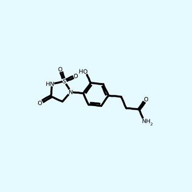 NC(=O)CCc1ccc(N2CC(=O)NS2(=O)=O)c(O)c1